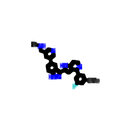 CCNCc1cncc(-c2ccc3[nH]nc(-c4cc5c(-c6cc(F)cc(OC)c6)nccc5[nH]4)c3c2)c1